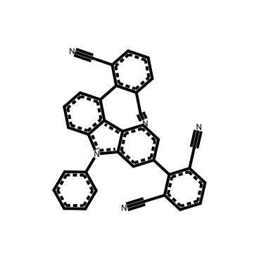 N#Cc1cccc(C#N)c1-c1ccc2c3c(-c4c(C#N)cccc4C#N)cccc3n(-c3ccccc3)c2c1